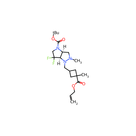 C=CCOC(=O)C1(C)CC(CN2[C@@H]3[C@H](CN2C)N(C(=O)OC(C)(C)C)CC3(F)F)C1